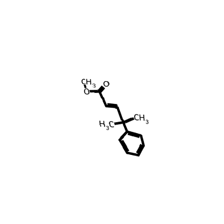 COC(=O)C=CC(C)(C)c1ccccc1